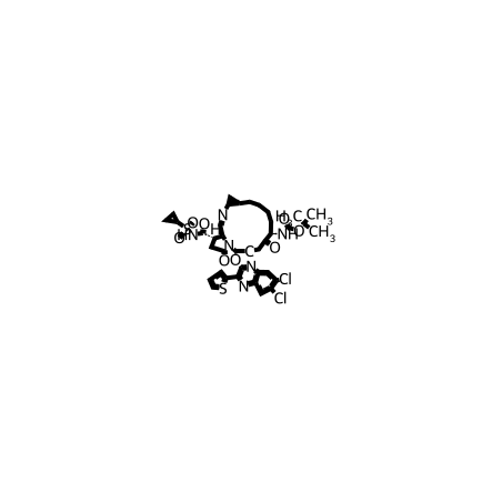 CC(C)(C)OC(=O)N[C@H]1CCCCC2=C(C2)/N=C\[C@@H]2[C@@H](C(=O)NS(=O)(=O)C3CC3)CC(=O)N2[C@H](Oc2nc3cc(Cl)c(Cl)cc3nc2-c2cccs2)CCC1=O